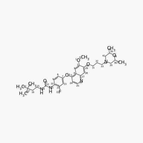 COc1cc2c(Oc3ccc(NC(=O)NCCC(C)(C)C)c(F)c3)ccnc2cc1OCCCN1CC(C)OC(C)C1